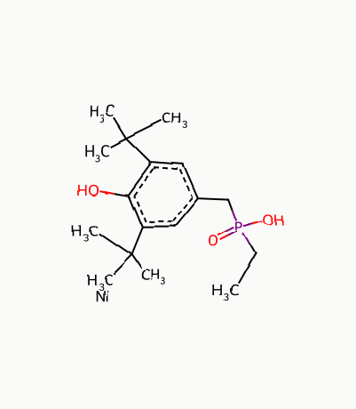 CCP(=O)(O)Cc1cc(C(C)(C)C)c(O)c(C(C)(C)C)c1.[Ni]